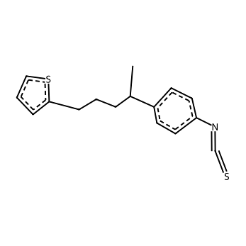 CC(CCCc1cccs1)c1ccc(N=C=S)cc1